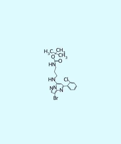 CC(C)(C)OC(=O)NCCCNc1cc(-c2ccccc2Cl)nc2c(Br)cnn12